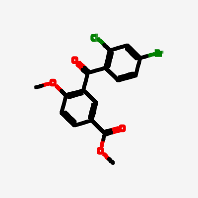 COC(=O)c1ccc(OC)c(C(=O)c2ccc(Br)cc2Cl)c1